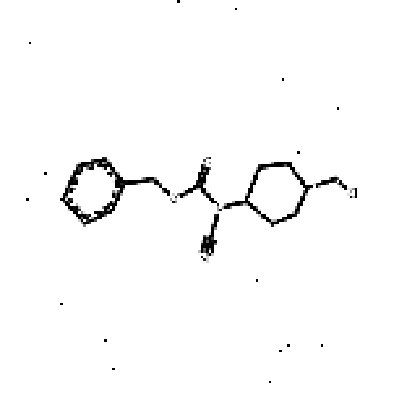 N#CN(C(=O)OCc1ccccc1)C1CCC(CCl)CC1